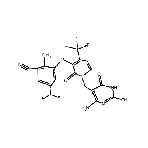 Cc1nc(N)c(Cn2cnc(C(F)(F)F)c(Oc3cc(C(F)F)cc(C#N)c3C)c2=O)c(=O)[nH]1